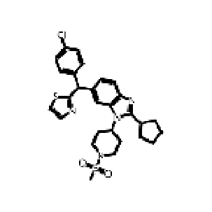 CS(=O)(=O)N1CCC(n2c(C3CCCC3)nc3ccc(C(c4ccc(Cl)cc4)c4nccs4)cc32)CC1